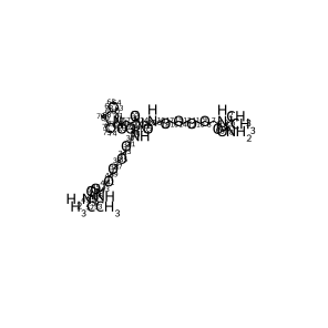 CC(C)[C@H](NC(=O)CCOCCOCCOCCOCCNC(=O)CN(CC(=O)NCCOCCOCCOCCOCCC(=O)N[C@H](C(N)=O)C(C)C)C(=O)CCC(=O)N1Cc2ccccc2C2=C(C2)c2ccccc21)C(N)=O